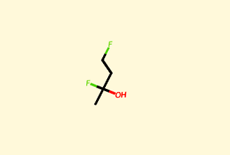 CC(O)(F)CCF